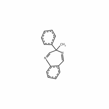 CC1(c2ccccc2)C=Nc2ccccc2C=N1